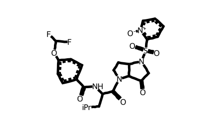 CC(C)CC(NC(=O)c1ccc(OC(F)F)cc1)C(=O)N1CCC2C1C(=O)CN2S(=O)(=O)c1cccc[n+]1[O-]